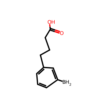 Bc1cccc(CCCC(=O)O)c1